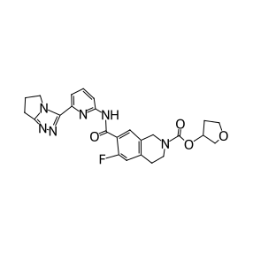 O=C(Nc1cccc(-c2nnc3n2CCC3)n1)c1cc2c(cc1F)CCN(C(=O)OC1CCOC1)C2